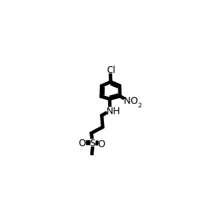 CS(=O)(=O)CCCNc1ccc(Cl)cc1[N+](=O)[O-]